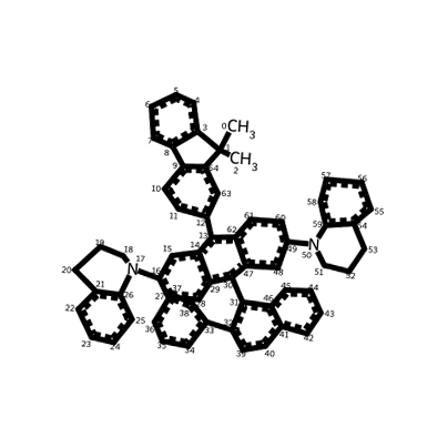 CC1(C)c2ccccc2-c2ccc(-c3c4cc(N5CCCc6ccccc65)ccc4c(-c4c(-c5ccccc5)ccc5ccccc45)c4cc(N5CCCc6ccccc65)ccc34)cc21